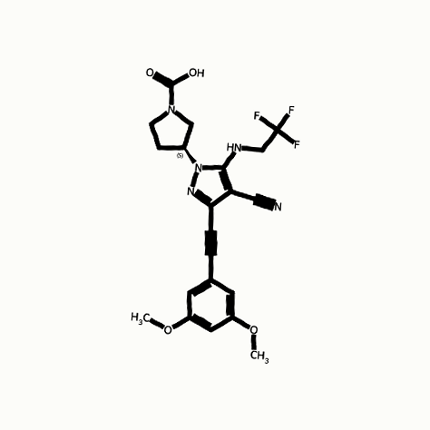 COc1cc(C#Cc2nn([C@H]3CCN(C(=O)O)C3)c(NCC(F)(F)F)c2C#N)cc(OC)c1